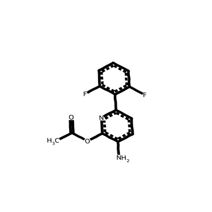 CC(=O)Oc1nc(-c2c(F)cccc2F)ccc1N